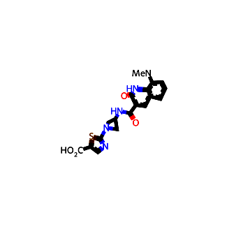 CNc1cccc2cc(C(=O)NC3CN(c4ncc(C(=O)O)s4)C3)c(=O)[nH]c12